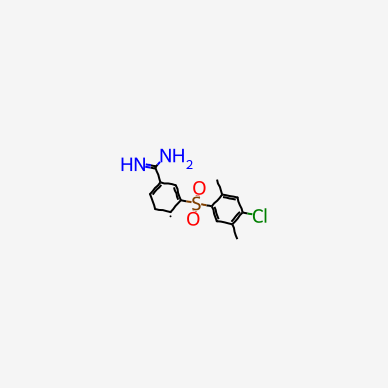 Cc1cc(S(=O)(=O)C2=CC(C(=N)N)=CC[CH]2)c(C)cc1Cl